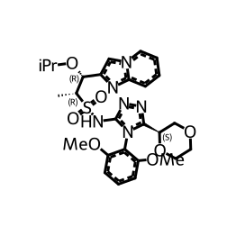 COc1cccc(OC)c1-n1c(NS(=O)(=O)[C@H](C)[C@H](OC(C)C)c2cn3ccccc3n2)nnc1[C@H]1COCCO1